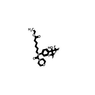 CCOC(=O)CCCCCN(C(=O)N1CCOCC1)c1ccc(C(O)(C(F)(F)F)C(F)(F)F)cc1